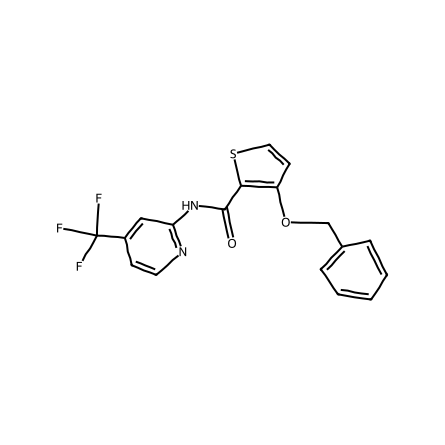 O=C(Nc1cc(C(F)(F)F)ccn1)c1sccc1OCc1ccccc1